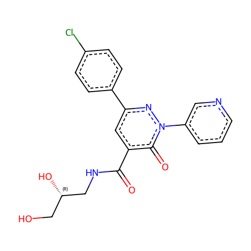 O=C(NC[C@@H](O)CO)c1cc(-c2ccc(Cl)cc2)nn(-c2cccnc2)c1=O